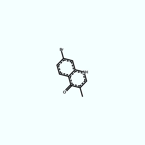 Cc1c[nH]c2cc(Br)ccc2c1=O